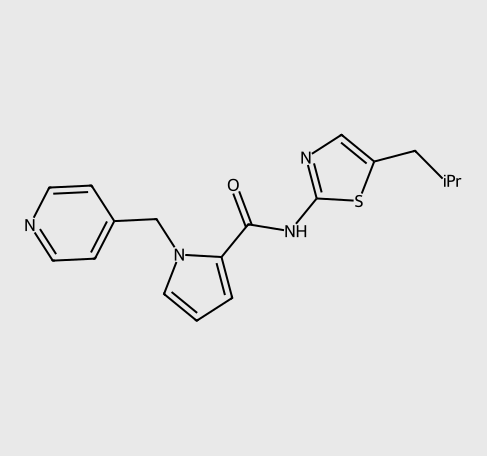 CC(C)Cc1cnc(NC(=O)c2cccn2Cc2ccncc2)s1